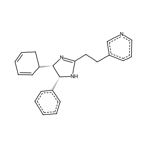 C1=CCC([C@@H]2N=C(CCc3cccnc3)N[C@@H]2c2ccccc2)C=C1